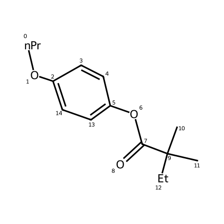 CCCOc1ccc(OC(=O)C(C)(C)CC)cc1